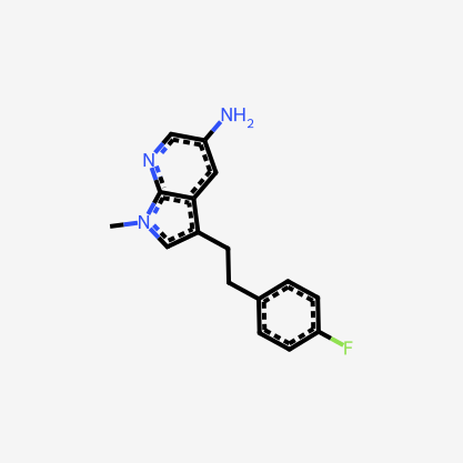 Cn1cc(CCc2ccc(F)cc2)c2cc(N)cnc21